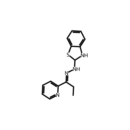 CC/C(=N\NC1Nc2ccccc2S1)c1ccccn1